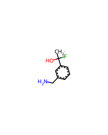 [CH2]C(O)(F)c1cccc(CN)c1